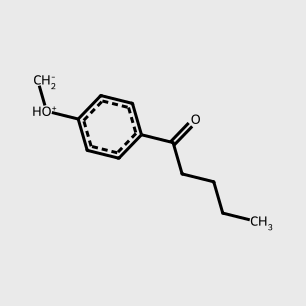 [CH2-][OH+]c1ccc(C(=O)CCCC)cc1